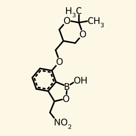 CC1(C)OCC(COc2cccc3c2B(O)OC3C[N+](=O)[O-])CO1